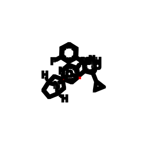 O=C(O)c1ccc(N2[C@@H]3CC[C@H]2C[C@@H](OCc2c(-c4cccc(F)c4)noc2C2CC2)C3)nc1